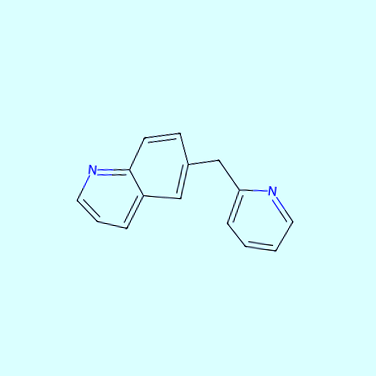 c1ccc(Cc2ccc3ncccc3c2)nc1